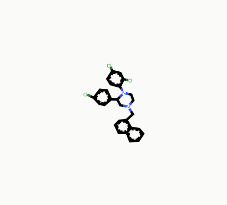 Clc1ccc(C2CN(Cc3cccc4ccccc34)CCN2c2ccc(Cl)cc2Cl)cc1